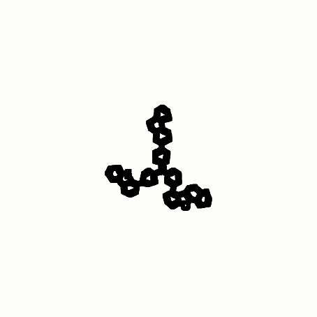 c1cc(-c2cccc3oc4c5ccccc5ccc4c23)cc(N(c2ccc(-c3ccc4c(ccc5ccccc54)c3)cc2)c2ccc(-c3cccc4c3sc3ccccc34)cc2)c1